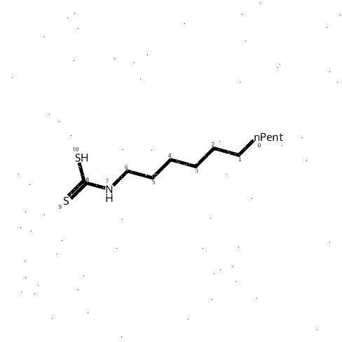 CCCCCCCCCCCNC(=S)S